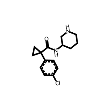 O=C(NC1CCCNC1)C1(c2ccc(Cl)cc2)CC1